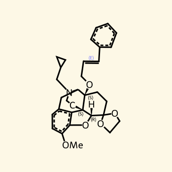 COc1ccc2c3c1O[C@H]1C4(CC[C@@]5(OC/C=C/c6ccccc6)C(C2)N(CC2CC2)CC[C@]315)OCCO4